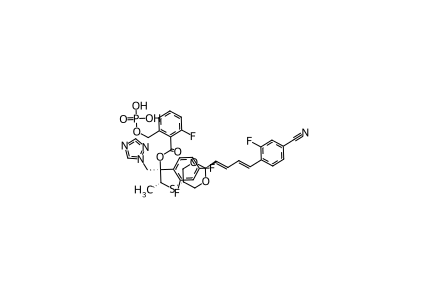 C[C@@H](S[C@H]1CO[C@H](/C=C/C=C/c2ccc(C#N)cc2F)OC1)[C@@](Cn1cncn1)(OC(=O)c1c(F)cccc1COP(=O)(O)O)c1ccc(F)cc1F